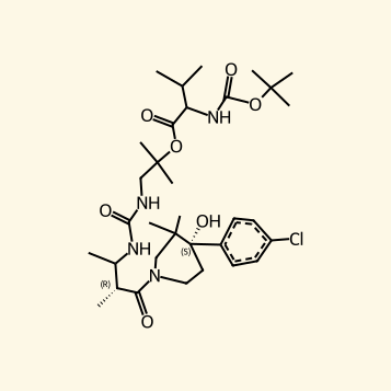 CC(C)C(NC(=O)OC(C)(C)C)C(=O)OC(C)(C)CNC(=O)NC(C)[C@@H](C)C(=O)N1CC[C@](O)(c2ccc(Cl)cc2)C(C)(C)C1